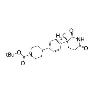 CC(C)(C)OC(=O)N1CCC(c2ccc([C@@]3(C)CCC(=O)NC3=O)cc2)CC1